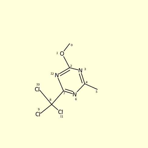 COc1nc(C)nc(C(Cl)(Cl)Cl)n1